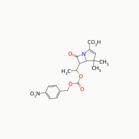 CC(OC(=O)OCc1ccc([N+](=O)[O-])cc1)C1C(=O)N2C(C(=O)O)=CC(C)(C)C12